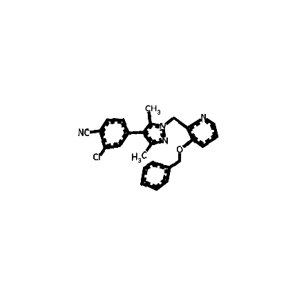 Cc1nn(Cc2ncccc2OCc2ccccc2)c(C)c1-c1ccc(C#N)c(Cl)c1